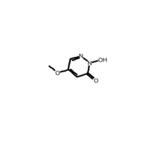 COc1cnn(O)c(=O)c1